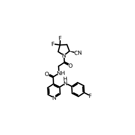 N#C[C@@H]1CC(F)(F)CN1C(=O)CNC(=O)c1ccncc1Nc1ccc(F)cc1